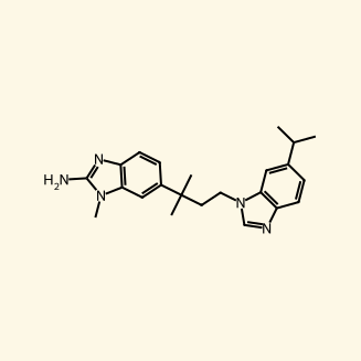 CC(C)c1ccc2ncn(CCC(C)(C)c3ccc4nc(N)n(C)c4c3)c2c1